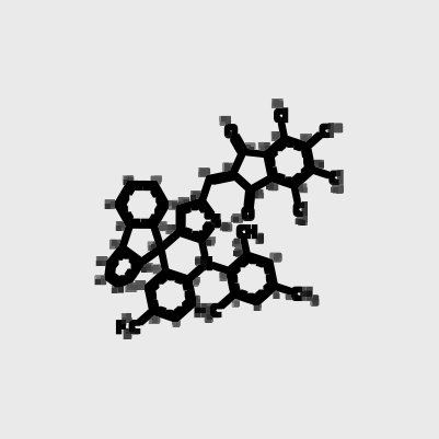 Cc1cc(C)c(N2c3ccc(C(F)(F)F)cc3C3(c4ccccc4-c4ccccc43)c3cc(C=C4C(=O)c5c(Cl)c(Cl)c(Cl)c(Cl)c5C4=O)sc32)c(C)c1